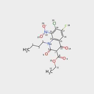 CCCCN1C(=O)C(C(=O)OCC)C(=O)c2cc(F)c(Cl)c([N+](=O)[O-])c21